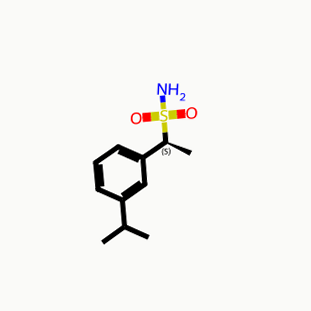 CC(C)c1cccc([C@H](C)S(N)(=O)=O)c1